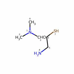 CN(C)C=O.NCCS